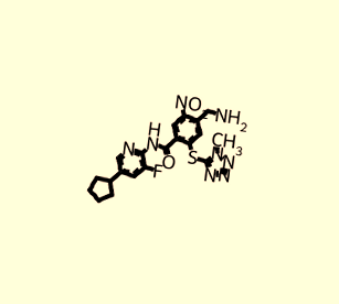 Cn1nnnc1Sc1cc(CN)c([N+](=O)[O-])cc1C(=O)Nc1ncc(C2CCCC2)cc1F